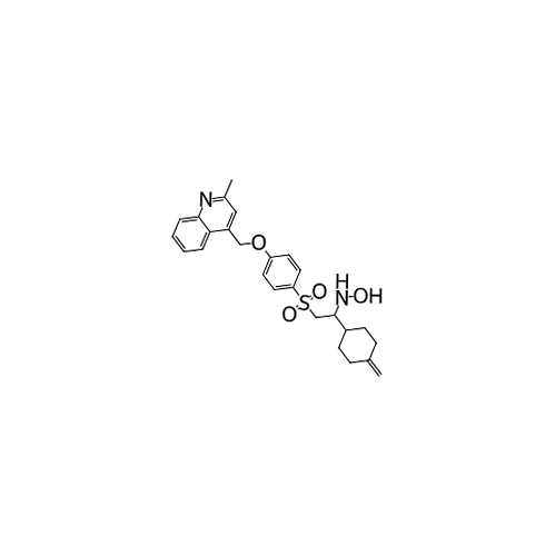 C=C1CCC(C(CS(=O)(=O)c2ccc(OCc3cc(C)nc4ccccc34)cc2)NO)CC1